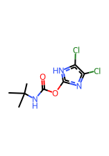 CC(C)(C)NC(=O)Oc1nc(Cl)c(Cl)[nH]1